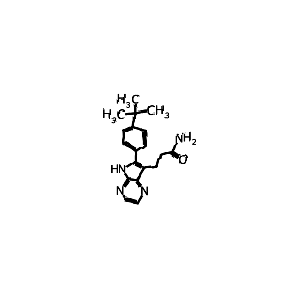 CC(C)(C)c1ccc(-c2[nH]c3nccnc3c2CCC(N)=O)cc1